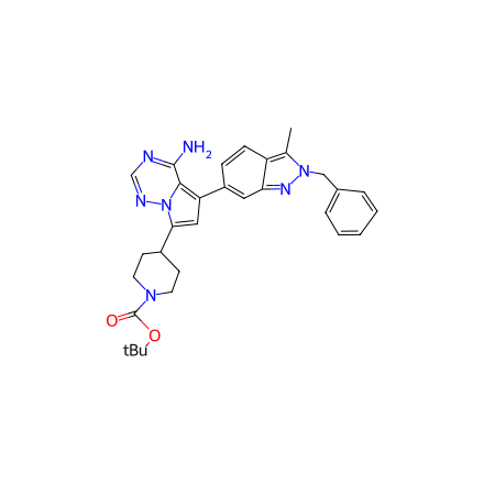 Cc1c2ccc(-c3cc(C4CCN(C(=O)OC(C)(C)C)CC4)n4ncnc(N)c34)cc2nn1Cc1ccccc1